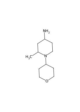 CC1CC(N)CCN1C1CCOCC1